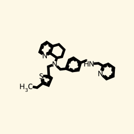 CCc1ccc(CN(Cc2ccc(CNCc3ccccn3)cc2)C2CCCc3cccnc32)s1